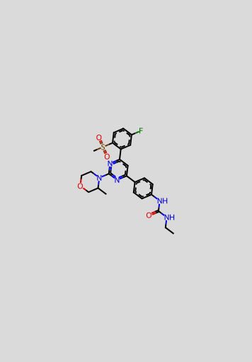 CCNC(=O)Nc1ccc(-c2cc(-c3cc(F)ccc3S(C)(=O)=O)nc(N3CCOCC3C)n2)cc1